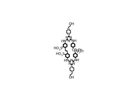 CCOC(=O)c1ccc(Nc2nc(Nc3ccc(/C=C/c4ccc(Nc5nc(Nc6ccc(C(=O)OCC)cc6)nc(N6CCN(CCO)CC6)n5)cc4S(=O)(=O)O)c(S(=O)(=O)O)c3)nc(N3CCN(CCO)CC3)n2)cc1